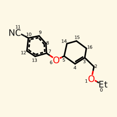 CCOCC1=CC(Oc2ccc(C#N)cc2)CCC1